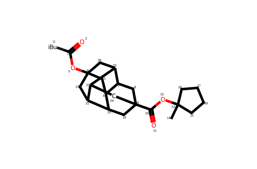 CCC(C)C(=O)OC12CC3C4CC5(C(=O)OC6(C)CCCC6)CC3C(C1)C(C5)C4C2